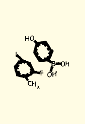 Cc1ccc(I)cc1F.OB(O)c1ccc(O)cc1